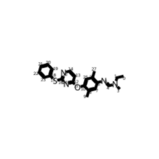 CCN(C)C=Nc1cc(C)c(Oc2ccnc(Sc3ccccc3)n2)cc1C